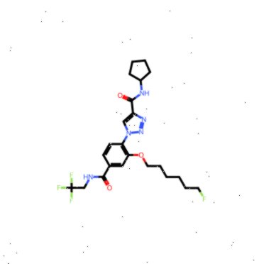 O=C(NCC(F)(F)F)c1ccc(-n2cc(C(=O)NC3CCCC3)nn2)c(OCCCCCCF)c1